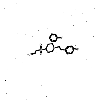 C=CCS(=O)(=O)C1CCN(CCc2ccc(F)cc2)CC1.Fc1ccccc1